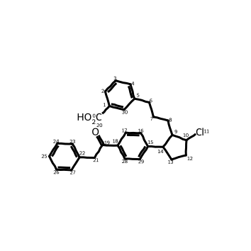 O=C(O)c1cccc(CCCC2C(Cl)CCC2c2ccc(C(=O)Cc3ccccc3)cc2)c1